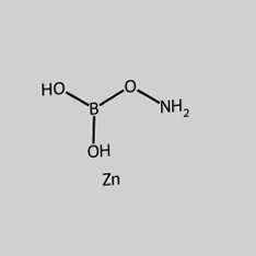 NOB(O)O.[Zn]